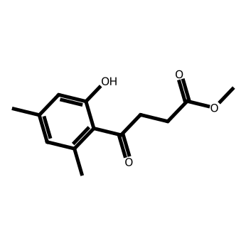 COC(=O)CCC(=O)c1c(C)cc(C)cc1O